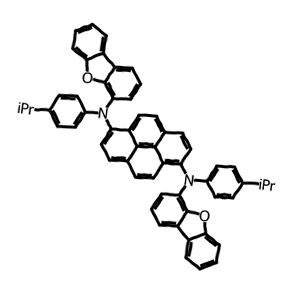 CC(C)c1ccc(N(c2ccc3ccc4c(N(c5ccc(C(C)C)cc5)c5cccc6c5oc5ccccc56)ccc5ccc2c3c54)c2cccc3c2oc2ccccc23)cc1